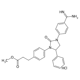 COC(=O)CCc1ccc(N2C(=O)N(c3ccc(C(=N)N)cc3)CC2c2ccccc2)cc1.Cl